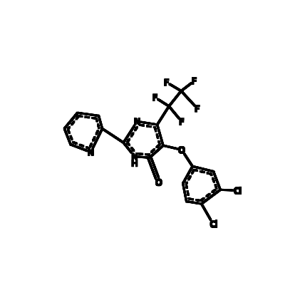 O=c1[nH]c(-c2ccccn2)nc(C(F)(F)C(F)(F)F)c1Oc1ccc(Cl)c(Cl)c1